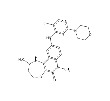 CC1CCOc2c(c3cc(Nc4nc(N5CCOCC5)ncc4Cl)ccc3n(C)c2=O)N1